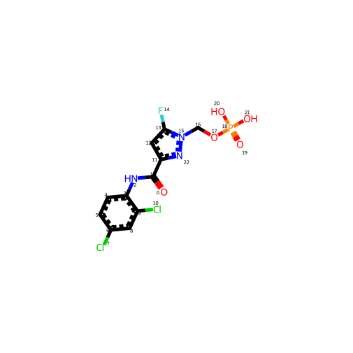 O=C(Nc1ccc(Cl)cc1Cl)c1cc(F)n(COP(=O)(O)O)n1